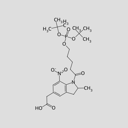 CC1Cc2cc(CC(=O)O)cc([N+](=O)[O-])c2N1C(=O)CCCCOP(=O)(OC(C)(C)C)OC(C)(C)C